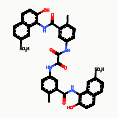 Cc1ccc(NC(=O)C(=O)Nc2ccc(C)c(C(=O)Nc3c(O)ccc4ccc(S(=O)(=O)O)cc34)c2)cc1C(=O)Nc1c(O)ccc2ccc(S(=O)(=O)O)cc12